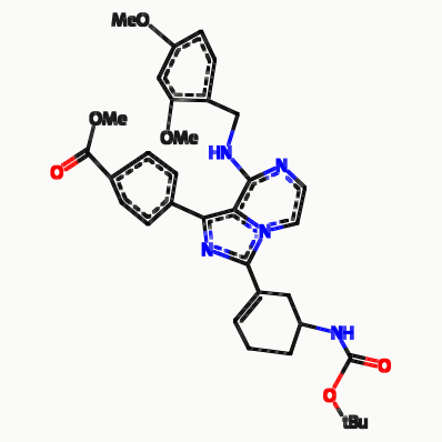 COC(=O)c1ccc(-c2nc(C3=CCCC(NC(=O)OC(C)(C)C)C3)n3ccnc(NCc4ccc(OC)cc4OC)c23)cc1